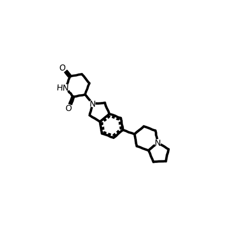 O=C1CCC(N2Cc3ccc(C4CCN5CCCC5C4)cc3C2)C(=O)N1